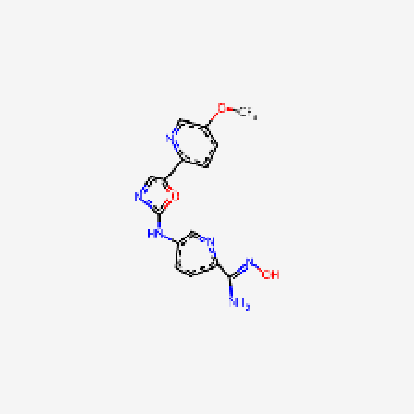 N/C(=N\O)c1ccc(Nc2ncc(-c3ccc(OC(F)(F)F)cn3)o2)cn1